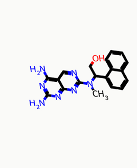 CN(c1ncc2c(N)nc(N)nc2n1)C(CO)c1cccc2ccccc12